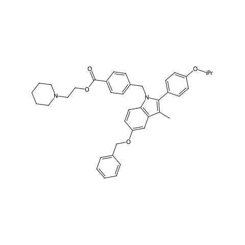 Cc1c(-c2ccc(OC(C)C)cc2)n(Cc2ccc(C(=O)OCCN3CCCCC3)cc2)c2ccc(OCc3ccccc3)cc12